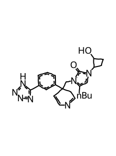 CCCCc1cn(C2CCC2O)c(=O)n1CC1(c2cccc(-c3nnn[nH]3)c2)C=CN=CC1